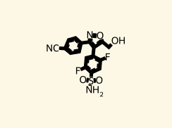 N#Cc1ccc(-c2noc(CO)c2-c2cc(F)c(S(N)(=O)=O)cc2F)cc1